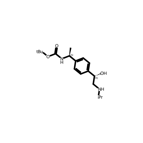 CC(C)NC[C@@H](O)c1ccc([C@H](C)NC(=O)OC(C)(C)C)cc1